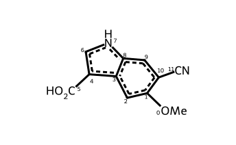 COc1cc2c(C(=O)O)c[nH]c2cc1C#N